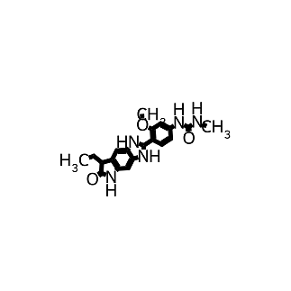 CCC1C(=O)Nc2cc3c(cc21)NC(c1ccc(NC(=O)NC)cc1OC)N3